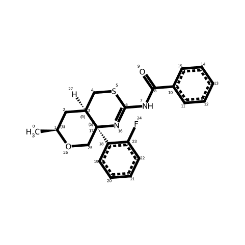 C[C@H]1C[C@H]2CSC(NC(=O)c3ccccc3)=N[C@@]2(c2ccccc2F)CO1